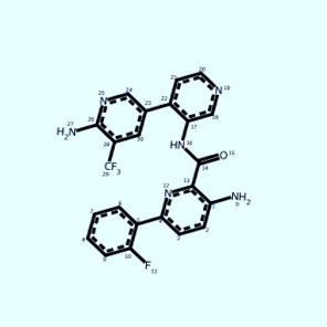 Nc1ccc(-c2ccccc2F)nc1C(=O)Nc1cnccc1-c1cnc(N)c(C(F)(F)F)c1